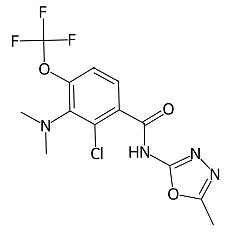 Cc1nnc(NC(=O)c2ccc(OC(F)(F)F)c(N(C)C)c2Cl)o1